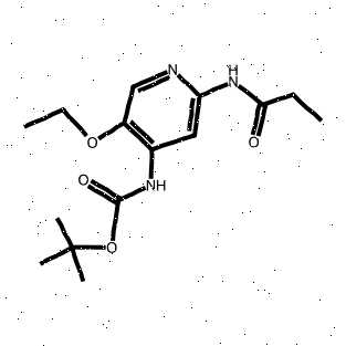 CCOc1cnc(NC(=O)CC)cc1NC(=O)OC(C)(C)C